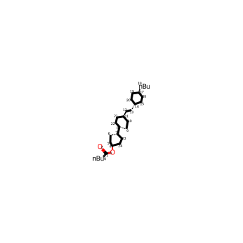 CCCCC(=O)O[C@H]1CC[C@H]([C@H]2CC[C@H](CC[C@H]3CC[C@H](CCCC)CC3)CC2)CC1